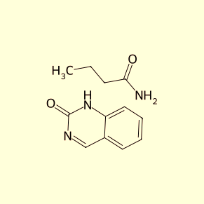 CCCC(N)=O.O=c1ncc2ccccc2[nH]1